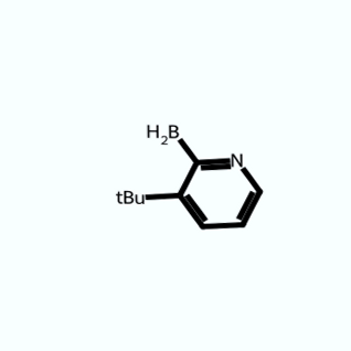 Bc1ncccc1C(C)(C)C